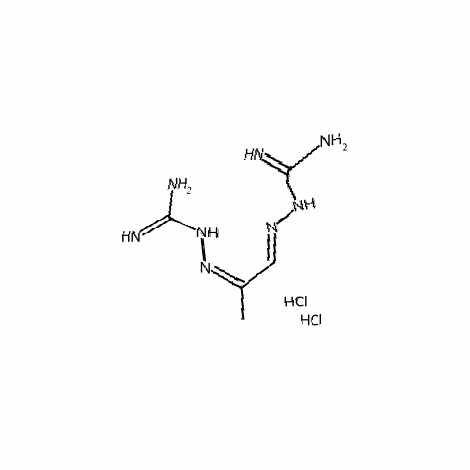 CC(C=NNC(=N)N)=NNC(=N)N.Cl.Cl